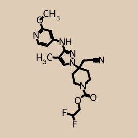 COc1cc(Nc2nn(C3(CC#N)CCN(C(=O)OCC(F)F)CC3)cc2C)ccn1